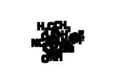 CC(C)(C)C(NC(=O)N1CCC(F)(F)C1)C(=O)N1CC2C(C1C(=O)NC(C#N)CC1CC3(CC3)NC1=O)C2(C)C